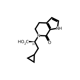 O=C(O)[C@H](CC1CC1)N1CCc2cc[nH]c2C1=O